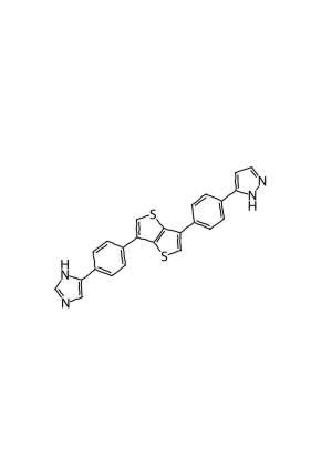 c1cc(-c2ccc(-c3csc4c(-c5ccc(-c6cnc[nH]6)cc5)csc34)cc2)[nH]n1